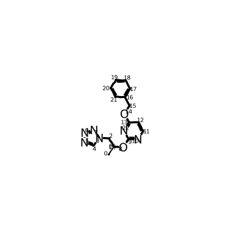 C[C@@H](Cn1cnnn1)Oc1nccc(OCc2ccccc2)n1